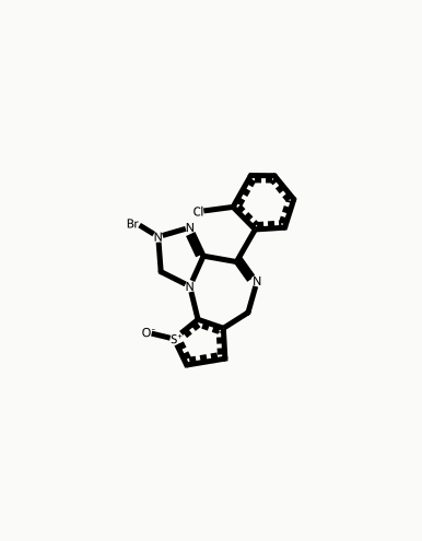 [O-][s+]1ccc2c1N1CN(Br)N=C1C(c1ccccc1Cl)=NC2